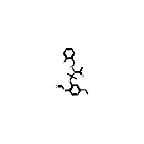 CCc1ccc(NC=O)c(OC(C)(C)N(NCc2ccccc2Cl)C(C)=O)c1